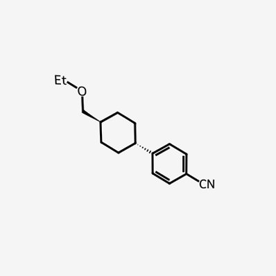 CCOC[C@H]1CC[C@H](c2ccc(C#N)cc2)CC1